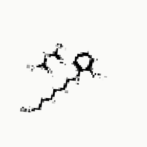 CC(=O)OC(C)=O.CCCCCCCCCCCCCCCCOc1ccccc1C(=O)O